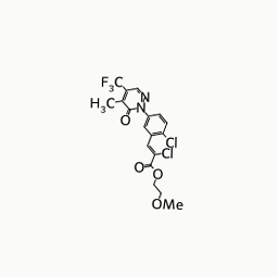 COCCOC(=O)/C(Cl)=C/c1cc(-n2ncc(C(F)(F)F)c(C)c2=O)ccc1Cl